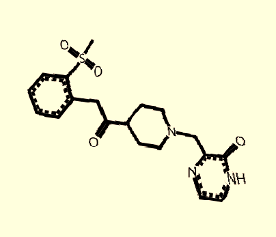 CS(=O)(=O)c1ccccc1CC(=O)C1CCN(Cc2ncc[nH]c2=O)CC1